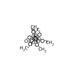 C=Cc1ccc(OP2(Oc3ccc(C=C)cc3)=NP(Oc3ccc(C=C)cc3)(Oc3ccc(C=C)cc3)=NP(Oc3ccc(C=C)cc3)(Oc3ccc(C=C)cc3)=N2)cc1